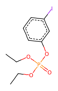 CCOP(=O)(OCC)Oc1cccc(I)c1